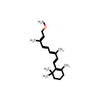 CC(C=CC1=C(C)CCCC1(C)C)=CC=CC(C)=CCO[SiH3]